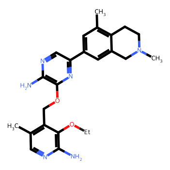 CCOc1c(N)ncc(C)c1COc1nc(-c2cc(C)c3c(c2)CN(C)CC3)cnc1N